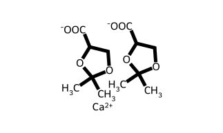 CC1(C)OCC(C(=O)[O-])O1.CC1(C)OCC(C(=O)[O-])O1.[Ca+2]